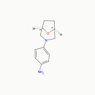 Nc1ccc(N2C[C@H]3CC[C@@H](C2)O3)cc1